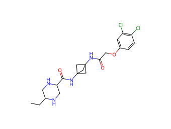 CCC1CNC(C(=O)NC23CC(NC(=O)COc4ccc(Cl)c(Cl)c4)(C2)C3)CN1